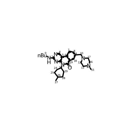 CCCCNc1ncc2c3ccc(CN4CCN(C)CC4)cc3c(=O)n(C3CCC(C)CC3)c2n1